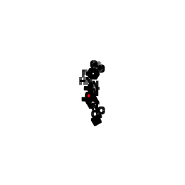 Cc1c(Nc2ccc(S(C)(=O)=O)cc2F)ncnc1OC1C2CN(C(=O)OC3(C)CCC3)CC1C(C)OC2C